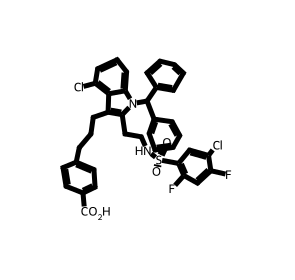 O=C(O)c1ccc(CCCc2c(CCNS(=O)(=O)c3cc(Cl)c(F)cc3F)n(C(c3ccccc3)c3ccccc3)c3cccc(Cl)c23)cc1